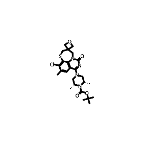 Cc1cc2c(N3C[C@@H](C)N(C(=O)OC(C)(C)C)[C@@H](C)C3)nc(=O)n3c2c(c1Cl)SCC1(COC1)C3